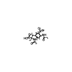 CC(=O)Nc1ccc(C(C)C(C)(NC(C)=O)C(=O)O)cc1[N+](=O)[O-]